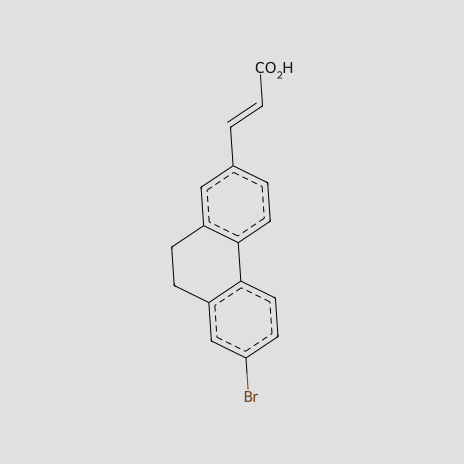 O=C(O)/C=C/c1ccc2c(c1)CCc1cc(Br)ccc1-2